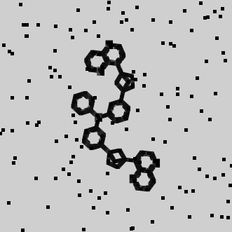 c1ccc(N(c2cccc(C34CCC(c5ccnc6cccnc56)(C3)C4)c2)c2cccc(C34CCC(c5ccnc6cccnc56)(C3)C4)c2)cc1